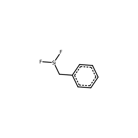 F[Si](F)Cc1ccccc1